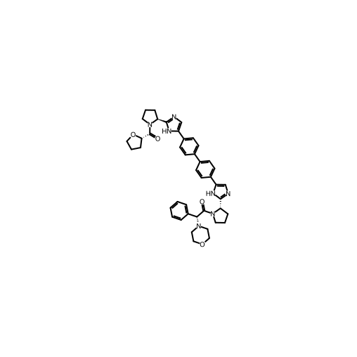 O=C([C@@H]1CCCO1)N1CCC[C@H]1c1ncc(-c2ccc(-c3ccc(-c4cnc([C@@H]5CCCN5C(=O)[C@@H](c5ccccc5)N5CCOCC5)[nH]4)cc3)cc2)[nH]1